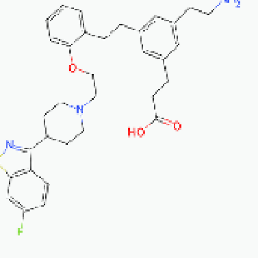 NCCc1cc(CCC(=O)O)cc(CCc2ccccc2OCCN2CCC(c3nsc4cc(F)ccc34)CC2)c1